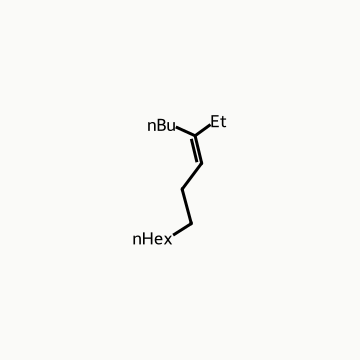 [CH2]CC(=CCCCCCCCC)CCCC